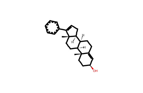 C[C@]12CC[C@H](O)C=C1CC[C@H]1[C@@H]2CC[C@]2(C)C(c3ccccc3)=CC[C@@H]12